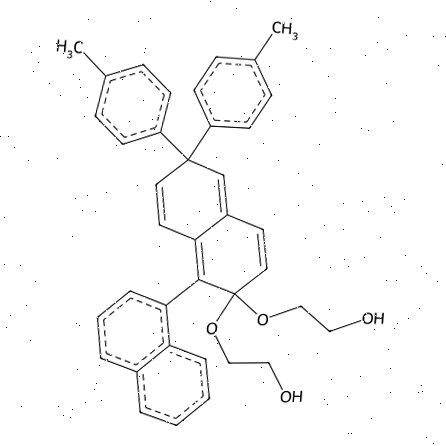 Cc1ccc(C2(c3ccc(C)cc3)C=CC3=C(c4cccc5ccccc45)C(OCCO)(OCCO)C=CC3=C2)cc1